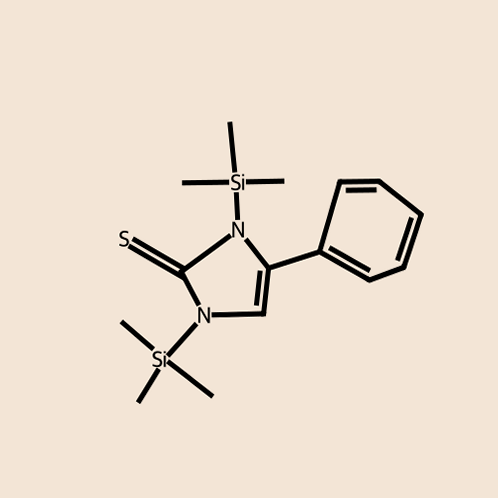 C[Si](C)(C)n1cc(-c2ccccc2)n([Si](C)(C)C)c1=S